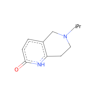 CC(C)N1CCc2[nH]c(=O)ccc2C1